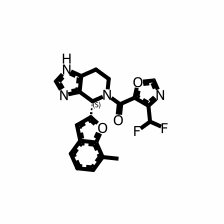 Cc1cccc2cc([C@@H]3c4nc[nH]c4CCN3C(=O)c3ocnc3C(F)F)oc12